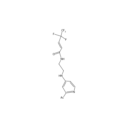 CC(=O)c1cc(NCCNC(=O)C=CC(F)(F)C(F)(F)F)ccn1